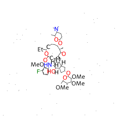 CC[C@H]1CCC[C@H](O[C@H]2CC[C@H](N(C)C)C(C)O2)[C@@H](C)C(=O)C2=C[C@H]3[C@@H]4C[C@H](O[C@@H]5OC(C)[C@H](OC)C(OC)C5OC)C[C@H]4[C@@H](O)[C@H](Nc4cccc(F)c4OC)[C@H]3[C@@H]2CC(=O)O1